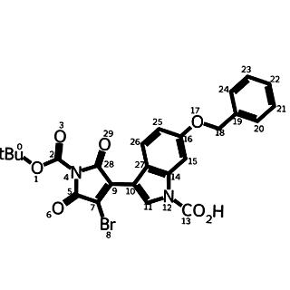 CC(C)(C)OC(=O)N1C(=O)C(Br)=C(c2cn(C(=O)O)c3cc(OCc4ccccc4)ccc23)C1=O